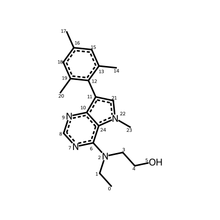 CCN(CCO)c1ncnc2c(-c3c(C)cc(C)cc3C)cn(C)c12